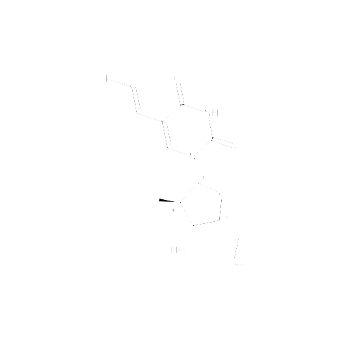 O=c1[nH]c(=O)n([C@@H]2O[C@H](CO)[C@H](O)[C@H]2O)cc1C=CCl